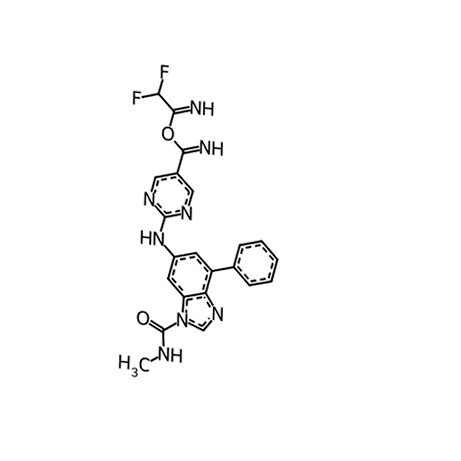 CNC(=O)n1cnc2c(-c3ccccc3)cc(Nc3ncc(C(=N)OC(=N)C(F)F)cn3)cc21